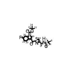 C[C@H](N[S+]([O-])C(C)(C)C)c1csc(C(=O)c2cn(C(=O)OC(C)(C)C)c3cc(F)ccc23)n1